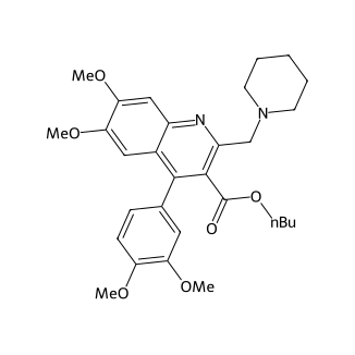 CCCCOC(=O)c1c(CN2CCCCC2)nc2cc(OC)c(OC)cc2c1-c1ccc(OC)c(OC)c1